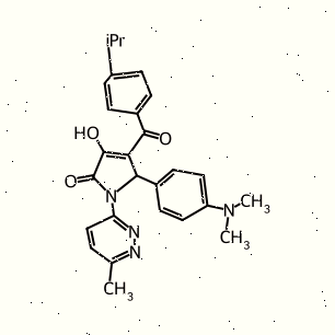 Cc1ccc(N2C(=O)C(O)=C(C(=O)c3ccc(C(C)C)cc3)C2c2ccc(N(C)C)cc2)nn1